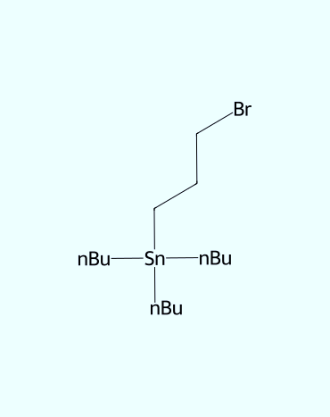 CCC[CH2][Sn]([CH2]CCC)([CH2]CCC)[CH2]CCBr